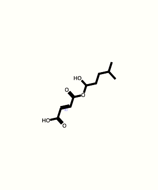 CC(C)CCC(O)OC(=O)/C=C/C(=O)O